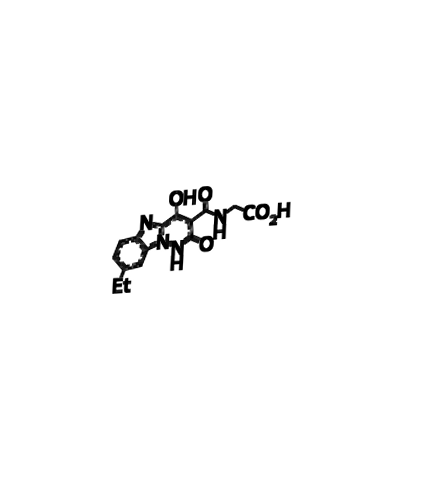 CCc1ccc2nc3c(O)c(C(=O)NCC(=O)O)c(=O)[nH]n3c2c1